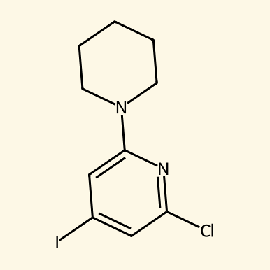 Clc1cc(I)cc(N2CCCCC2)n1